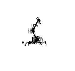 CCC(=O)OCc1ccc(NC(=O)[C@@H](CCCNC(N)=O)NC(=O)[C@H](NC(=O)OCCOCCNS(=O)(=O)NC(=O)OCCCNC(=O)CCCCCN2C(=O)C=CC2=O)C(C)C)cc1